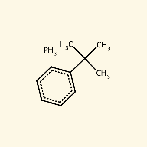 CC(C)(C)c1ccccc1.P